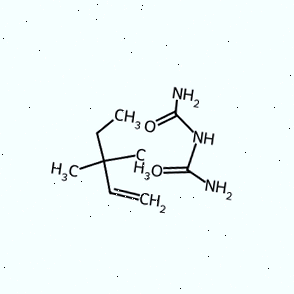 C=CC(C)(C)CC.NC(=O)NC(N)=O